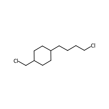 ClCCCCC1CCC(CCl)CC1